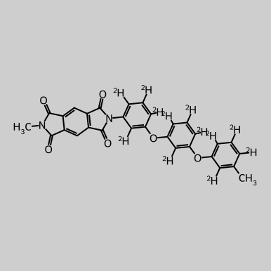 [2H]c1c([2H])c(C)c([2H])c(Oc2c([2H])c([2H])c([2H])c(Oc3c([2H])c([2H])c([2H])c(-n4c(=O)c5cc6c(=O)n(C)c(=O)c6cc5c4=O)c3[2H])c2[2H])c1[2H]